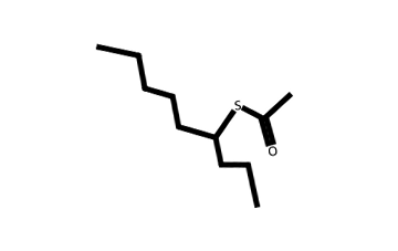 CCCCCC(CCC)SC(C)=O